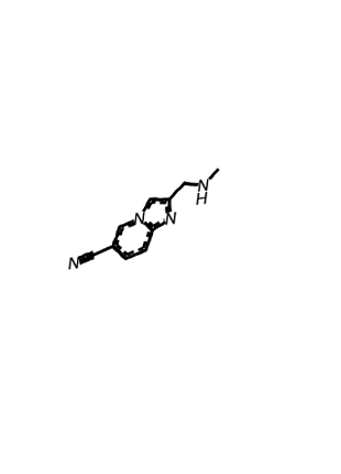 CNCc1cn2cc(C#N)ccc2n1